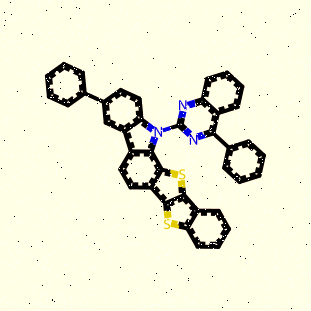 c1ccc(-c2ccc3c(c2)c2ccc4c5sc6ccccc6c5sc4c2n3-c2nc(-c3ccccc3)c3ccccc3n2)cc1